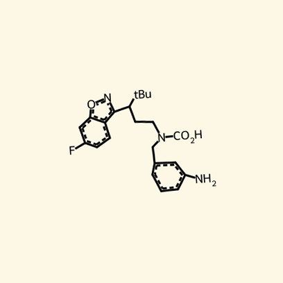 CC(C)(C)C(CCN(Cc1cccc(N)c1)C(=O)O)c1noc2cc(F)ccc12